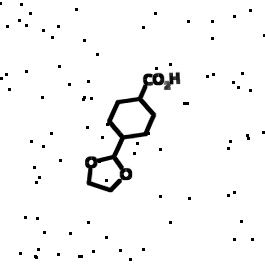 O=C(O)C1CCC(C2OCCO2)CC1